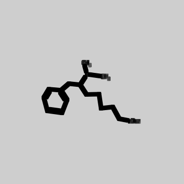 CCCCCCCCCCCCCCCC(Cc1ccccc1)B(C)C